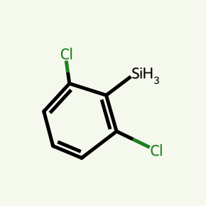 [SiH3]c1c(Cl)cccc1Cl